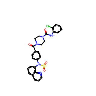 O=C(Nc1ccccc1Cl)N1CCN(C(=O)c2ccc(N(c3cccc4cccnc34)[SH](=O)=O)cc2)CC1